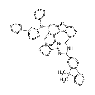 CC1(C)c2ccccc2-c2ccc(C3N=C(c4ccccc4)N=C(c4cccc5oc6cc(N(c7ccccc7)c7cccc(-c8ccccc8)c7)c7ccccc7c6c45)N3)cc21